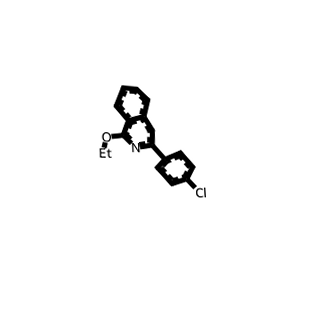 CCOc1nc(-c2ccc(Cl)cc2)cc2ccccc12